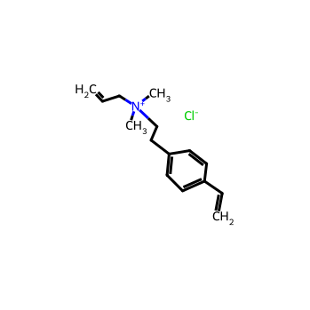 C=CC[N+](C)(C)CCc1ccc(C=C)cc1.[Cl-]